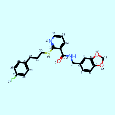 O=C(NCc1ccc2c(c1)OCO2)c1cccnc1SCCCc1ccc(F)cc1